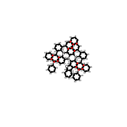 c1ccc(-c2cc3c4c(c2)N(c2c(-c5ccccc5)cccc2-c2ccccc2)c2cc(N(c5ccccc5)c5ccccc5)c5c(oc6ccccc65)c2B4c2ccc(N(c4ccccc4)c4ccccc4)cc2N3c2c(-c3ccccc3)cccc2-c2ccccc2)cc1